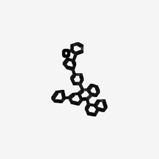 c1ccc(-c2ccc3c(-c4cccc5ccccc45)c4ccccc4c(-c4ccc(-c5ccc6oc7ccccc7c6c5)cc4)c3c2)cc1